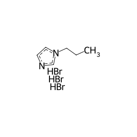 Br.Br.Br.CCCn1ccnc1